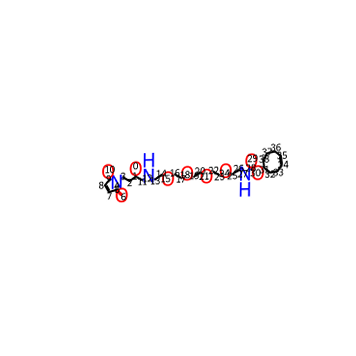 O=C(CCN1C(=O)C=CC1=O)CNCCOCCOCCOCCOCCNC(=O)OC1CCC=CCCC1